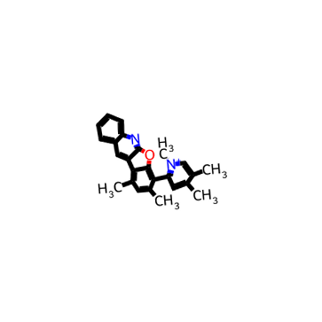 Cc1cc(-c2c(C)cc(C)c3c2oc2nc4ccccc4cc23)[n+](C)cc1C